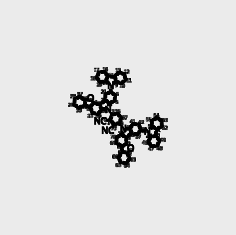 N#Cc1c(-n2c3ccc(-n4c5ccccc5c5ccccc54)cc3c3c4oc5ccccc5c4ccc32)ccc(-n2c3ccc(-n4c5ccccc5c5ccccc54)cc3c3c4oc5ccccc5c4ccc32)c1C#N